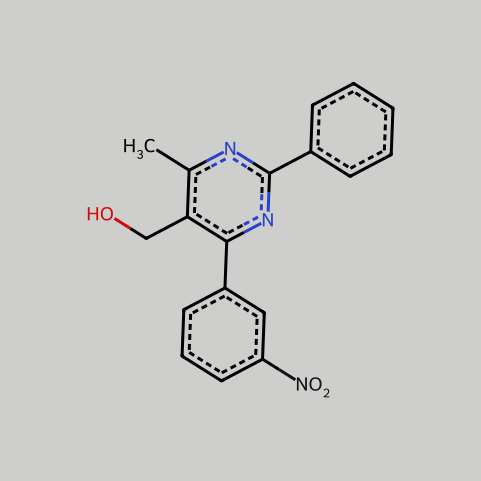 Cc1nc(-c2ccccc2)nc(-c2cccc([N+](=O)[O-])c2)c1CO